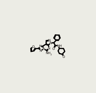 Nc1nc2c(cnn2C(C(=O)NC2CCC(=O)CC2)c2ccccc2)c2nc(-c3ccco3)nn12